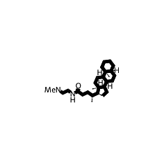 CNCCNC(=O)CC[C@@H](C)[C@H]1CC[C@H]2[C@@H]3CC[C@@H]4CCCC[C@]4(C)[C@H]3CC[C@]12C